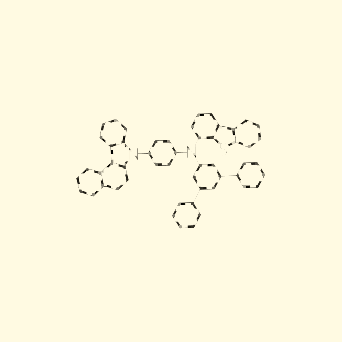 c1ccc(-c2cc(-c3ccccc3)cc(N(c3ccc(-n4c5ccccc5c5c6ccccc6ccc54)cc3)c3cccc4c3sc3ccccc34)c2)cc1